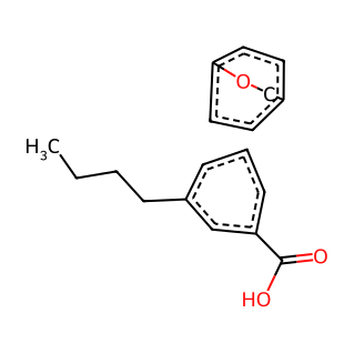 CCCCc1cccc(C(=O)O)c1.c1cc2ccc1CO2